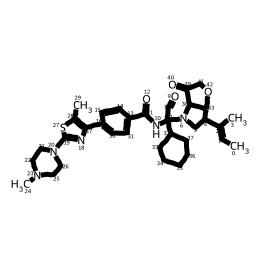 C/C=C(\C)C1CN(C(C=O)(NC(=O)c2ccc(-c3nc(N4CCN(C)CC4)sc3C)cc2)C2CCCCC2)C2C(=O)COC12